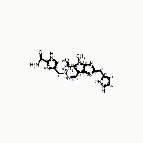 CN(Cc1c[nH]c(C(N)=O)n1)/N=C\c1c(C=O)n(C)c2nc(Cc3cc[nH]n3)sc12